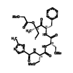 COCC(=O)O[C@](C)(CI)C(=O)[C@H](Cc1ccccc1)NC(=O)[C@H](COC)NC(=O)[C@H](COC)NC(=O)c1cnc(C)s1